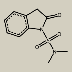 CN(C)S(=O)(=O)N1C(=O)Cc2ccccc21